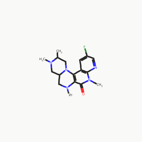 CC1CN2c3c(c(=O)n(C)c4ncc(F)cc34)N(C(C)C)CC2CN1C